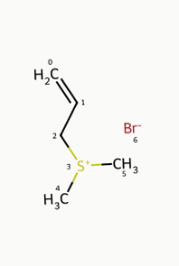 C=CC[S+](C)C.[Br-]